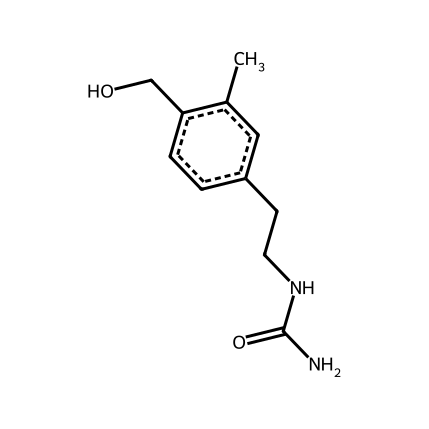 Cc1cc(CCNC(N)=O)ccc1CO